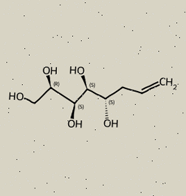 C=CC[C@H](O)[C@H](O)[C@@H](O)[C@H](O)CO